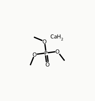 COP(=O)(OC)OC.[CaH2]